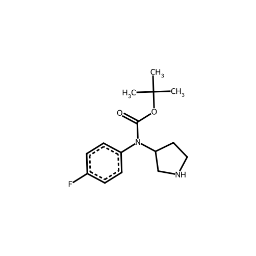 CC(C)(C)OC(=O)N(c1ccc(F)cc1)C1CCNC1